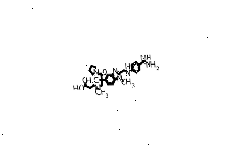 CN(CCC(=O)O)CC(C)(C(=O)N1CCCC1)c1ccc2c(c1)nc(CNc1ccc(C(=N)N)cc1)n2C